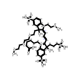 COCCOCCOCCC1(C)/C(=C\C=C\C2=[N+](CCCCCC(=O)O)c3ccc(S(=O)(=O)O)cc3C2(C)CCCS(=O)(=O)O)N(CCOC)c2ccc(S(=O)(=O)O)cc21